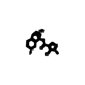 CCCC1C2CCC1(OC(=O)c1cnn(C)c1Cl)C1=C2C=C[C@@H](F)C1